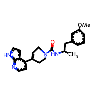 COc1cccc(CC(C)NC(=O)N2CC=C(c3ccnc4[nH]ccc34)CC2)c1